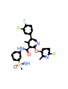 Cc1nc(F)ccc1Oc1ncc(-c2ccc(F)c(F)c2)c(C)c1C(=O)Nc1cccc([S@](C)(=N)=O)c1